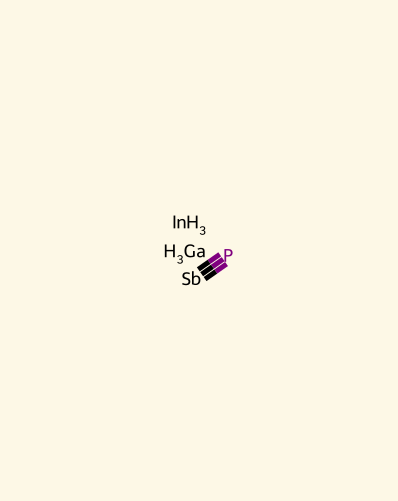 [GaH3].[InH3].[P]#[Sb]